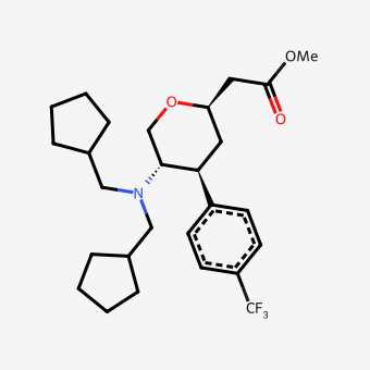 COC(=O)C[C@H]1C[C@@H](c2ccc(C(F)(F)F)cc2)[C@H](N(CC2CCCC2)CC2CCCC2)CO1